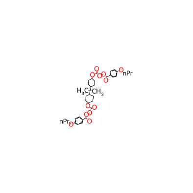 CCCOc1ccc(C(=O)OOC(=O)OC2CCC(C(C)(C)C3CCC(OC(=O)OOC(=O)c4ccc(OCCC)cc4)CC3)CC2)cc1